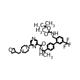 C[C@@H](NC(=O)c1cncc(N2CCN(CC3COC3)CC2)n1)c1ccc(-c2cc(C(F)(F)F)ccc2CNC(=O)OC(C)(C)C)cc1